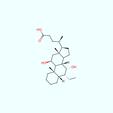 CC[C@H]1[C@@H](O)[C@H]2C3CC[C@H]([C@H](C)CCC(=O)O)[C@@]3(C)C[C@H](O)C2[C@@]2(C)CCCC[C@@H]12